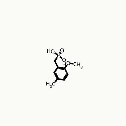 COc1ccc(C)cc1CP(=O)(O)O